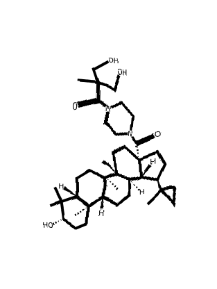 CC(CO)(CO)C(=O)N1CCN(C(=O)[C@]23CC[C@@H](C4(C)CC4)[C@@H]2[C@H]2CC[C@@H]4[C@@]5(C)CC[C@H](O)C(C)(C)[C@@H]5CC[C@@]4(C)[C@]2(C)CC3)CC1